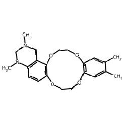 Cc1cc2c(cc1C)OCCOc1c(ccc3c1CN(C)CN3C)OCCO2